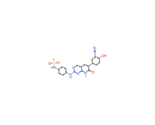 Cn1c(=O)c(-c2ccc(O)c(C#N)c2)cc2cnc(Nc3ccc(NS(C)(=O)=O)cc3)nc21